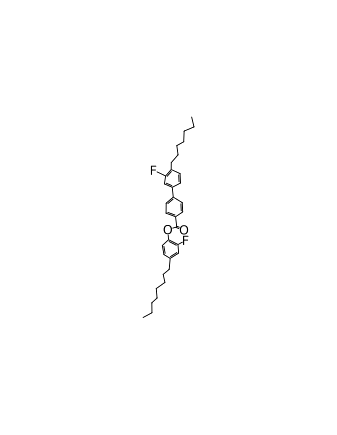 CCCCCCCCc1ccc(OC(=O)c2ccc(-c3ccc(CCCCCCC)c(F)c3)cc2)c(F)c1